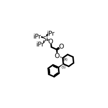 CC(C)[Si](OCC(=O)O[C@@H]1CCCC[C@H]1c1ccccc1)(C(C)C)C(C)C